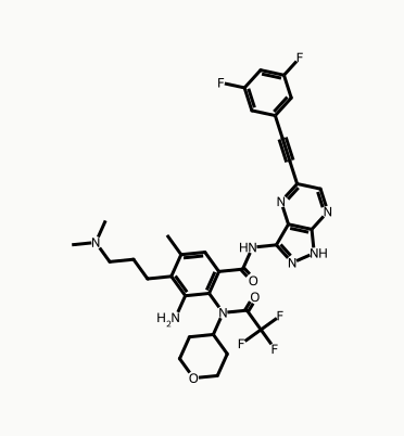 Cc1cc(C(=O)Nc2n[nH]c3ncc(C#Cc4cc(F)cc(F)c4)nc23)c(N(C(=O)C(F)(F)F)C2CCOCC2)c(N)c1CCCN(C)C